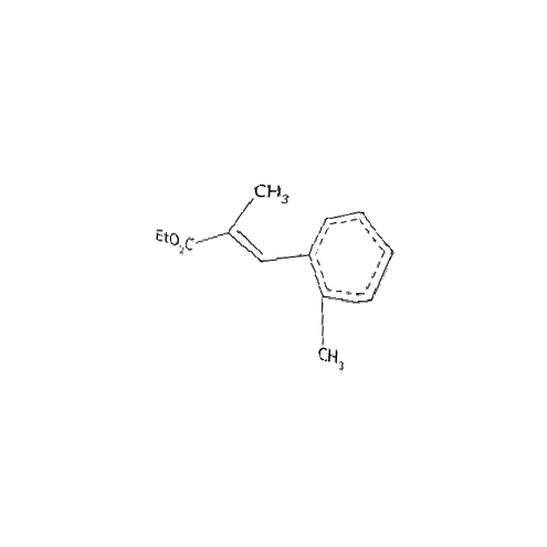 CCOC(=O)C(C)=Cc1ccccc1C